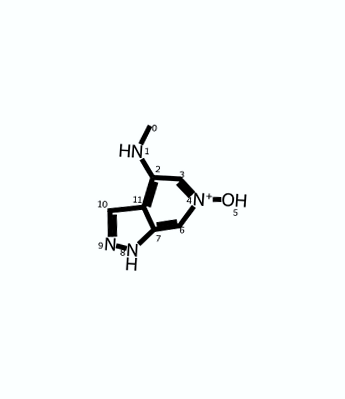 CNc1c[n+](O)cc2[nH]ncc12